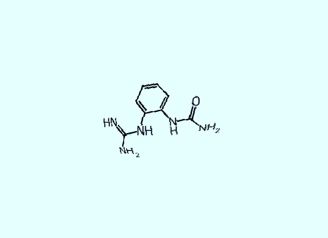 N=C(N)Nc1ccccc1NC(N)=O